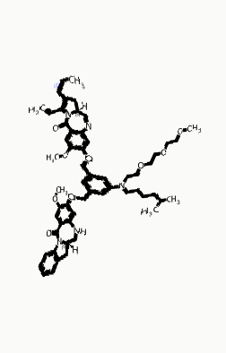 C=CC1=C(/C=C\C)C[C@H]2C=Nc3cc(OCc4cc(COc5cc6c(cc5OC)C(=O)N5c7ccccc7C[C@H]5CN6)cc(N(CCCCC(C)C)CCOCCOCCOC)c4)c(OC)cc3C(=O)N12